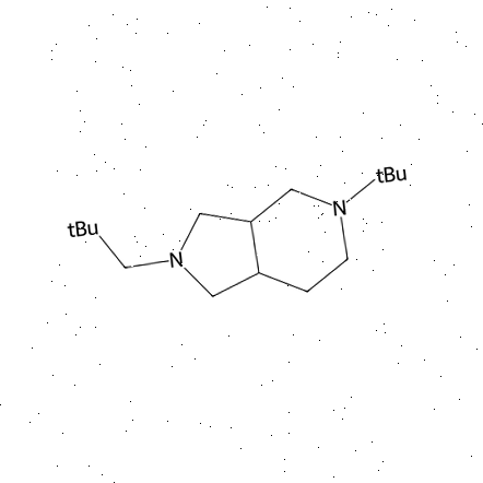 CC(C)(C)CN1CC2CCN(C(C)(C)C)CC2C1